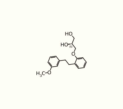 COc1cccc(CCc2ccccc2OC[C@@H](O)CO)c1